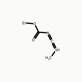 CCOC(=O)N=C=[SH]C